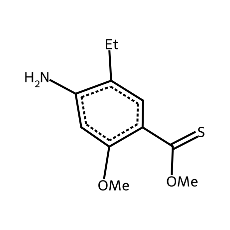 CCc1cc(C(=S)OC)c(OC)cc1N